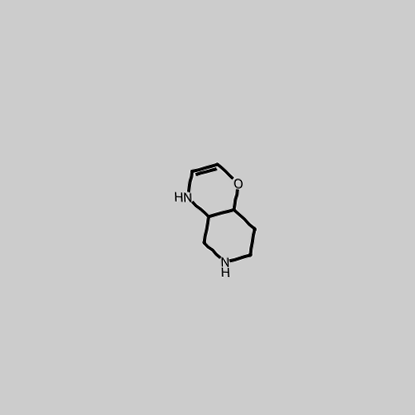 C1=COC2CCNCC2N1